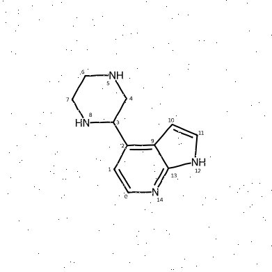 c1cc(C2CNCCN2)c2cc[nH]c2n1